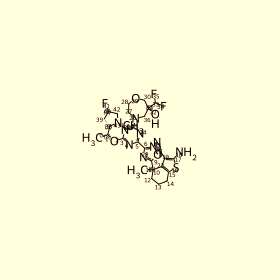 C[C@H](Oc1nc(-c2noc([C@@]3(C)CCCc4sc(N)c(C#N)c43)n2)nc(N2CCOC[C@](O)(C(F)F)C2)n1)[C@@H]1C[C@@H](F)CN1C